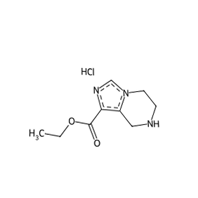 CCOC(=O)c1ncn2c1CNCC2.Cl